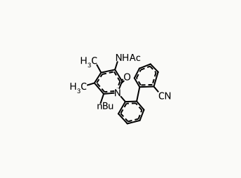 CCCCc1c(C)c(C)c(NC(C)=O)c(=O)n1-c1ccccc1-c1ccccc1C#N